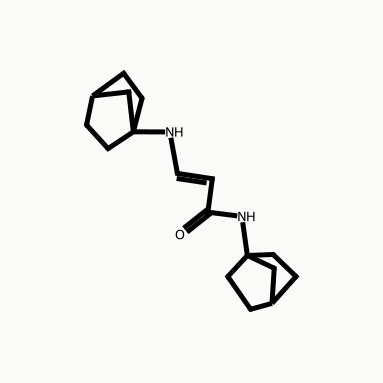 O=C(C=CNC12CCC(CC1)C2)NC12CCC(CC1)C2